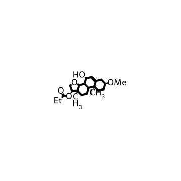 CCC(=O)O[C@H]1COC2C3C(CC[C@@]21C)[C@@]1(C)CC[C@H](OC)CC1=C[C@@H]3O